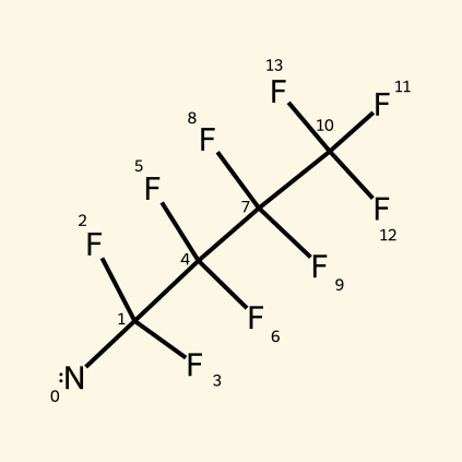 [N]C(F)(F)C(F)(F)C(F)(F)C(F)(F)F